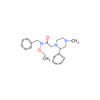 CCON(Cc1ccccc1)C(=O)CN1CCN(C)CC1c1ccccc1